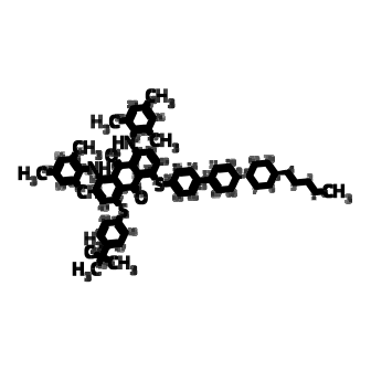 CCCCC[C@H]1CC[C@H](C2C=CC(c3ccc(Sc4ccc(Nc5c(C)cc(C)cc5C)c5c4C(=O)c4c(Sc6ccc(C(C)(C)C)cc6)ccc(Nc6c(C)cc(C)cc6C)c4C5=O)cc3)=CC2)CC1